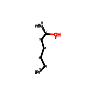 CCCC[C@@H](O)CCCCC(C)C